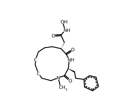 CN1CCCCCCCC[C@H](CC(=O)NO)C(=O)N[C@@H](CCc2ccccc2)C1=O